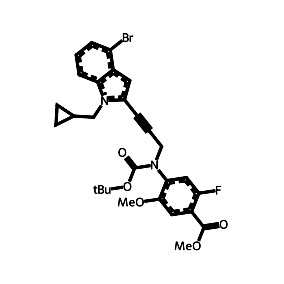 COC(=O)c1cc(OC)c(N(CC#Cc2cc3c(Br)cccc3n2CC2CC2)C(=O)OC(C)(C)C)cc1F